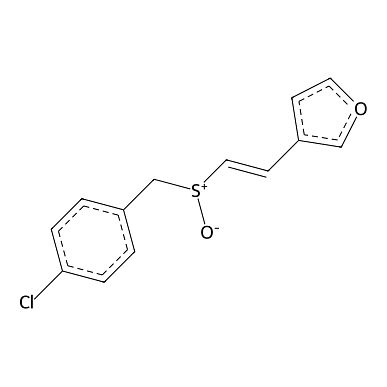 [O-][S+](C=Cc1ccoc1)Cc1ccc(Cl)cc1